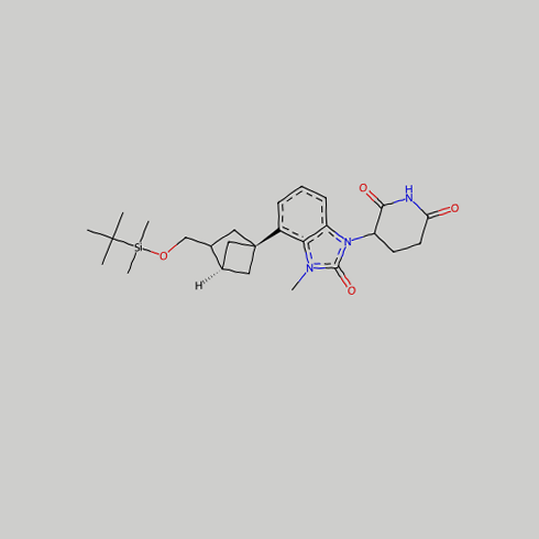 Cn1c(=O)n(C2CCC(=O)NC2=O)c2cccc([C@]34CC(CO[Si](C)(C)C(C)(C)C)[C@@H](C3)C4)c21